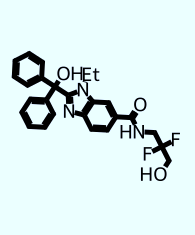 CCn1c(C(O)(c2ccccc2)c2ccccc2)nc2ccc(C(=O)NCC(F)(F)CO)cc21